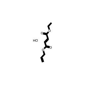 C=CCOC(=O)C=CC(=O)OCC.Cl